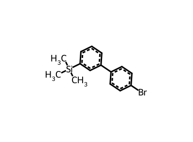 C[Si](C)(C)c1cccc(-c2ccc(Br)cc2)c1